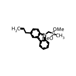 C=CCc1ccc2c(c1)c1ccccc1n2C[Si](C)(OC)OC